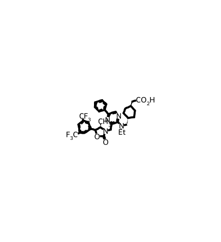 CCN(C[C@H]1CC[C@H](CC(=O)O)CC1)c1ncc(-c2ccccc2)nc1CN1C(=O)OC(c2cc(C(F)(F)F)cc(C(F)(F)F)c2)[C@@H]1C